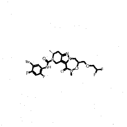 C[C@@H]1Cc2nn3c(c2CN1C(=O)Nc1cc(Br)c(F)cc1F)C(=O)N(C)OC(COCC(F)F)C3